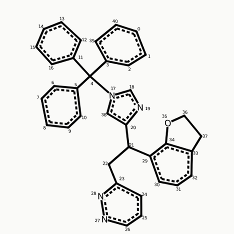 c1ccc(C(c2ccccc2)(c2ccccc2)n2cnc(C(Cc3cccnn3)c3cccc4c3OCC4)c2)cc1